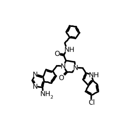 Nc1ncnc2cc(CN3C(=O)CN(Cc4cc5cc(Cl)ccc5[nH]4)CC3C(=O)NCc3ccccc3)ccc12